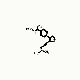 CC(NC(=O)O)c1ccc(-c2scnc2C#CCN(C)C)cc1